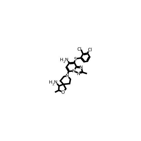 Cc1nc2c(Sc3cccc(Cl)c3Cl)c(N)cc(N3CCC4(CC3)COC(C)C4N)n2n1